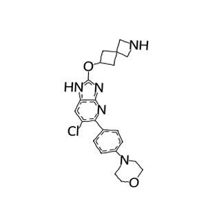 Clc1cc2[nH]c(OC3CC4(CNC4)C3)nc2nc1-c1ccc(N2CCOCC2)cc1